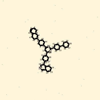 c1ccc2cc(-c3ccc(-c4cc(-c5ccc(-c6cncc7ccccc67)cc5)nc(-c5ccc(-c6ccccc6)cc5)n4)cc3)ccc2c#1